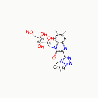 Cc1cc2nc(-c3nnnn3CC(=O)O)c(=O)n(C[C@H](O)[C@H](O)[C@H](O)CO)c2cc1C